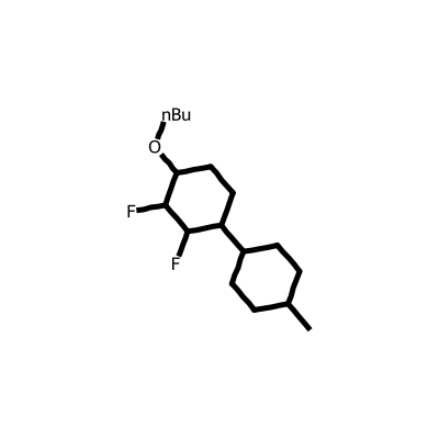 CCCCOC1CCC(C2CCC(C)CC2)C(F)C1F